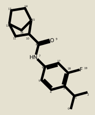 CC(C)c1ccc(NC(=O)C2CC3CCC2C3)cc1F